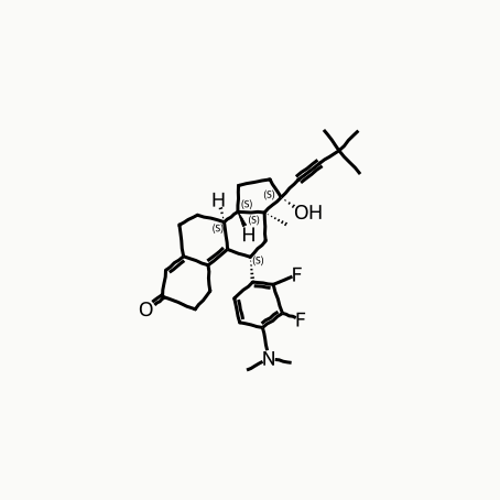 CN(C)c1ccc([C@H]2C[C@@]3(C)[C@@H](CC[C@@]3(O)C#CC(C)(C)C)[C@@H]3CCC4=CC(=O)CCC4=C32)c(F)c1F